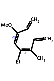 C=C/C(C)=C(\C=C(/C=C)OC)CC